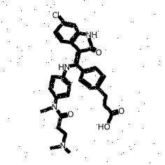 CN(C)CCC(=O)N(C)c1ccc(NC(=C2C(=O)Nc3cc(Cl)ccc32)c2ccc(CCC(=O)O)cc2)cc1